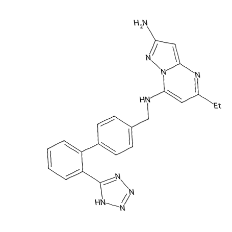 CCc1cc(NCc2ccc(-c3ccccc3-c3nnn[nH]3)cc2)n2nc(N)cc2n1